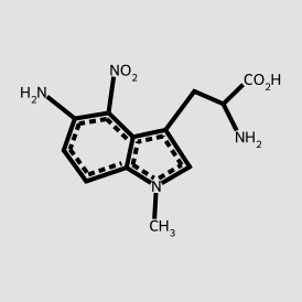 Cn1cc(CC(N)C(=O)O)c2c([N+](=O)[O-])c(N)ccc21